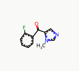 Cn1cncc1C(=O)c1ccccc1F